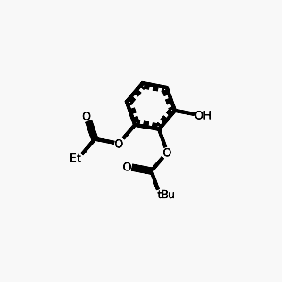 CCC(=O)Oc1cccc(O)c1OC(=O)C(C)(C)C